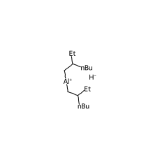 CCCCC(CC)[CH2][Al+][CH2]C(CC)CCCC.[H-]